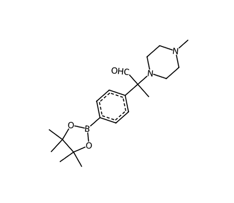 CN1CCN(C(C)(C=O)c2ccc(B3OC(C)(C)C(C)(C)O3)cc2)CC1